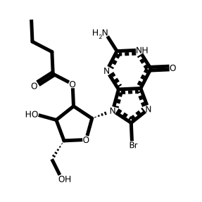 CCCC(=O)OC1C(O)[C@@H](CO)O[C@H]1n1c(Br)nc2c(=O)[nH]c(N)nc21